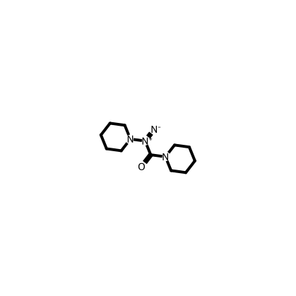 [N-]=[N+](C(=O)N1CCCCC1)N1CCCCC1